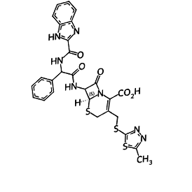 Cc1nnc(SCC2=C(C(=O)O)N3C(=O)C(NC(=O)C(NC(=O)c4nc5ccccc5[nH]4)c4ccccc4)[C@@H]3SC2)s1